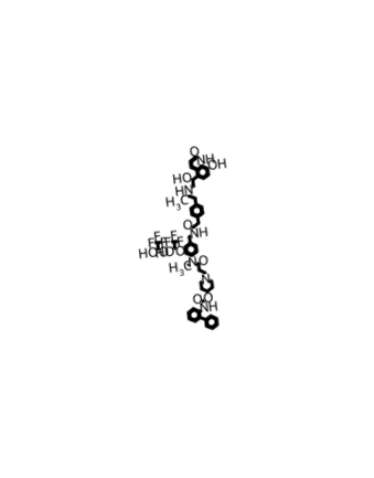 CC(Cc1ccc(CC(=O)NCc2ccc(N(C)C(=O)CCN3CCC(OC(=O)Nc4ccccc4-c4ccccc4)CC3)cc2)cc1)NC[C@H](O)c1ccc(O)c2[nH]c(=O)ccc12.O=C(O)C(F)(F)F.O=C(O)C(F)(F)F